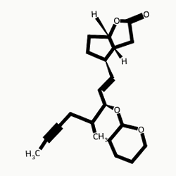 CC#CCC(C)[C@@H](C=C[C@H]1CC[C@@H]2OC(=O)C[C@@H]21)OC1CCCCO1